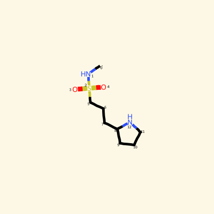 [CH2]NS(=O)(=O)CCCC1CCCN1